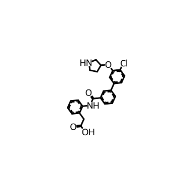 O=C(O)Cc1ccccc1NC(=O)c1cccc(-c2ccc(Cl)c(OC3CCNC3)c2)c1